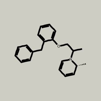 CC(COc1ccccc1Cc1ccccc1)N1C=CC=C[C@H]1C